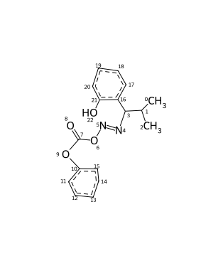 CC(C)C(N=NOC(=O)Oc1ccccc1)c1ccccc1O